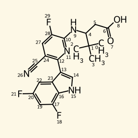 CC(C)(C)C(CC(=O)O)Nc1nc(-c2c[nH]c3c(F)cc(F)cc23)c(C#N)cc1F